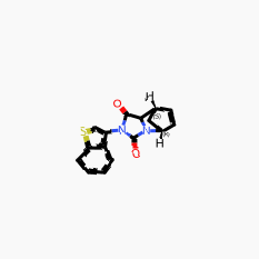 O=C1C2[C@@H]3C=C[C@@H](C3)N2C(=O)N1c1csc2ccccc12